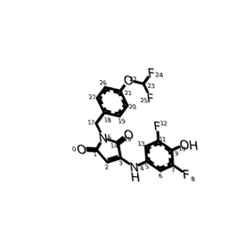 O=C1C=C(Nc2cc(F)c(O)c(F)c2)C(=O)N1Cc1ccc(OC(F)F)cc1